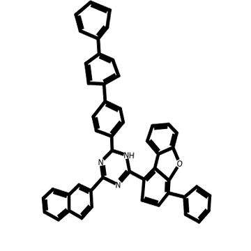 c1ccc(-c2ccc(-c3ccc(C4N=C(c5ccc6ccccc6c5)N=C(c5ccc(-c6ccccc6)c6oc7ccccc7c56)N4)cc3)cc2)cc1